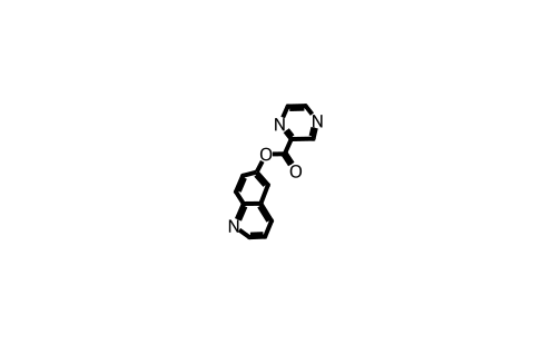 O=C(Oc1ccc2ncccc2c1)c1cnccn1